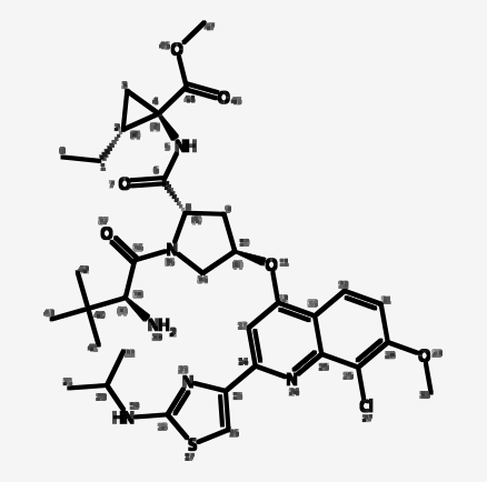 CC[C@@H]1C[C@]1(NC(=O)[C@@H]1C[C@@H](Oc2cc(-c3csc(NC(C)C)n3)nc3c(Cl)c(OC)ccc23)CN1C(=O)[C@@H](N)C(C)(C)C)C(=O)OC